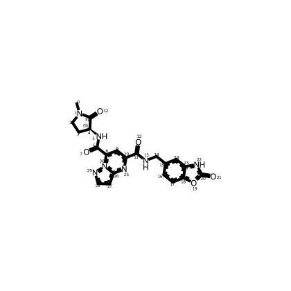 CN1CC[C@H](NC(=O)c2cc(C(=O)NCc3ccc4oc(=O)[nH]c4c3)nc3ccnn23)C1=O